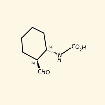 O=C[C@H]1CCCC[C@@H]1NC(=O)O